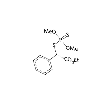 CCOC(=O)[C@@H](SP(=S)(OC)OC)c1ccccc1